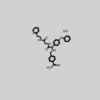 Cl.N=C(N)c1ccc(CNC(C(=O)NCC(=O)NCCc2ccccn2)c2ccc(Oc3ccccc3)cc2)cc1